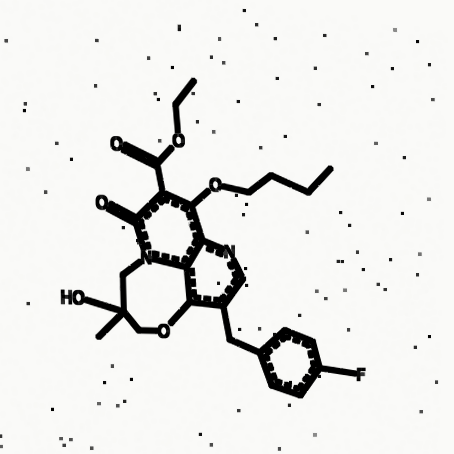 CCCCOc1c(C(=O)OCC)c(=O)n2c3c(c(Cc4ccc(F)cc4)cnc13)OCC(C)(O)C2